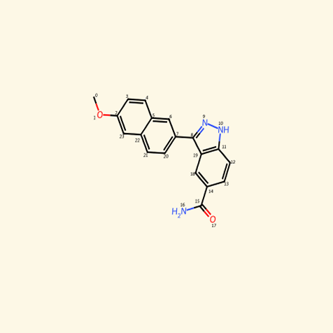 COc1ccc2cc(-c3n[nH]c4ccc(C(N)=O)cc34)ccc2c1